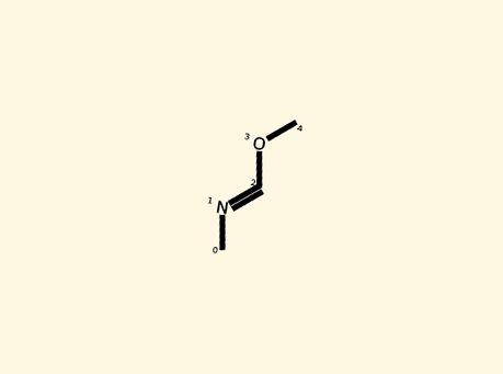 CN=COC